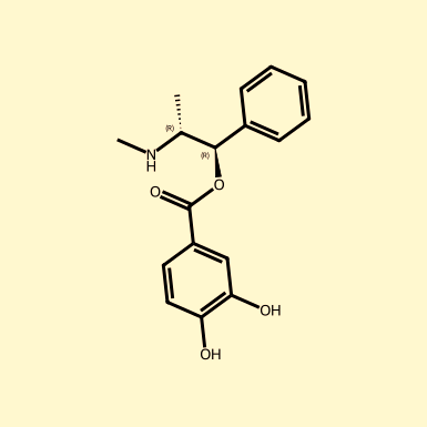 CN[C@H](C)[C@H](OC(=O)c1ccc(O)c(O)c1)c1ccccc1